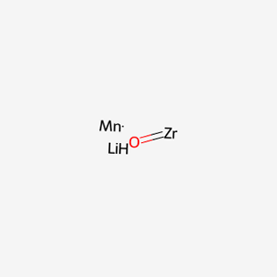 [LiH].[Mn].[O]=[Zr]